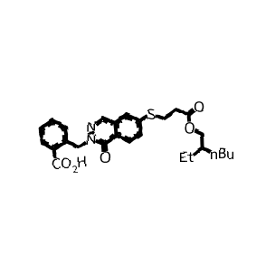 CCCCC(CC)COC(=O)CCSc1ccc2c(=O)n(Cc3ccccc3C(=O)O)ncc2c1